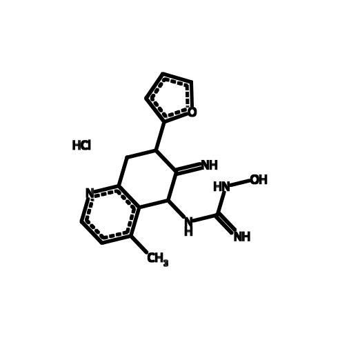 Cc1ccnc2c1C(NC(=N)NO)C(=N)C(c1ccco1)C2.Cl